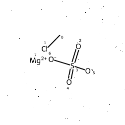 CCl.O=S(=O)([O-])[O-].[Mg+2]